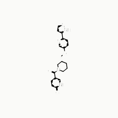 O=C(c1ccc(=O)[nH]c1)N1CCC[C@@H](COc2ccc(-c3ccn[nH]3)nc2)C1